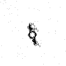 CCOC(=O)c1cc(N)cc(CN2CCOCCOCCN(Cc3cccc(C(=O)OC)n3)CCOCCOCC2)n1